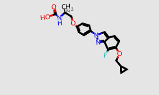 C[C@@H](COc1ccc(-n2cc3ccc(OCC4CC4)c(F)c3n2)cc1)NC(=O)O